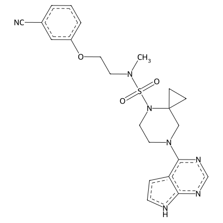 CN(CCOc1cccc(C#N)c1)S(=O)(=O)N1CCN(c2ncnc3[nH]ccc23)CC12CC2